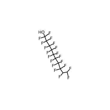 OC(F)(F)C(F)(F)C(F)(F)C(F)(F)C(F)(F)C(F)(F)C(F)(F)C(F)(F)C(F)C(F)F